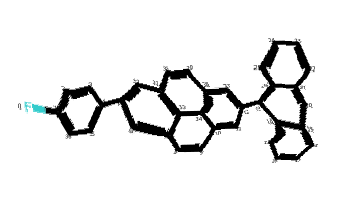 Fc1ccc(-c2cc3ccc4cc(-c5c6ccccc6cc6ccccc56)cc5ccc(c2)c3c45)cc1